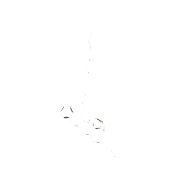 CCCCCCCCCCCCCCCCC(C(CCCCCCCC)Cc1ccccc1)n1ccnc1